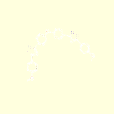 COc1ccc(-c2nnc(-c3ccc(Oc4ccc(-c5nnc(-c6ccc(OC)cc6)s5)cc4)cc3)s2)cc1